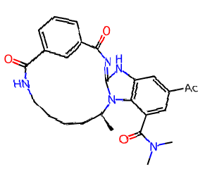 CC(=O)c1cc2c(c(C(=O)N(C)C)c1)N1/C(=N/C(=O)c3cccc(c3)C(=O)NCCCC[C@@H]1C)N2